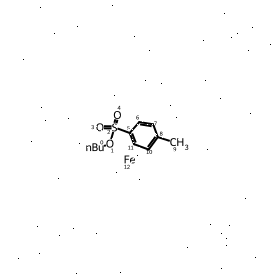 CCCCOS(=O)(=O)c1ccc(C)cc1.[Fe]